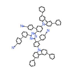 N#Cc1ccc(-c2cccc(-c3nc(-c4ccc(-n5c6ccc(-c7ccccc7)cc6c6cc(-c7ccccc7)ccc65)cc4-c4ccc(C#N)cc4)nc(-c4ccc(-n5c6ccc(-c7ccccc7)cc6c6cc(-c7ccccc7)ccc65)cc4-c4ccc(C#N)cc4)n3)c2)cc1